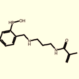 C=C(C)C(=O)NCCCNCc1ccccc1BO